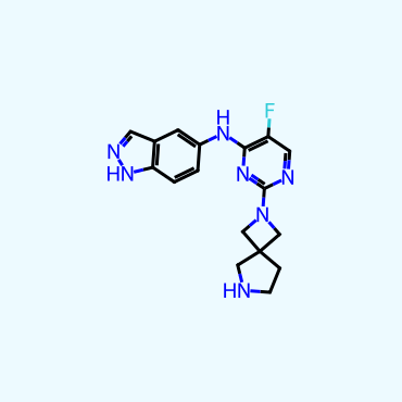 Fc1cnc(N2CC3(CCNC3)C2)nc1Nc1ccc2[nH]ncc2c1